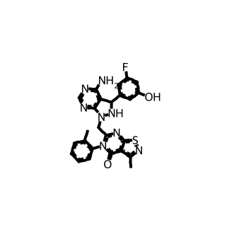 Cc1ccccc1-n1c(CN2NC(c3cc(O)cc(F)c3)c3c(N)ncnc32)nc2snc(C)c2c1=O